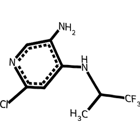 CC(Nc1cc(Cl)ncc1N)C(F)(F)F